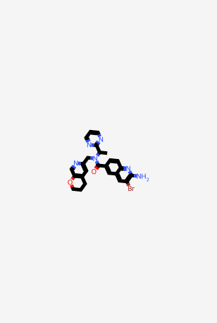 CC(c1ncccn1)N(Cc1cc2c(cn1)OCCC2)C(=O)c1ccc2nc(N)c(Br)cc2c1